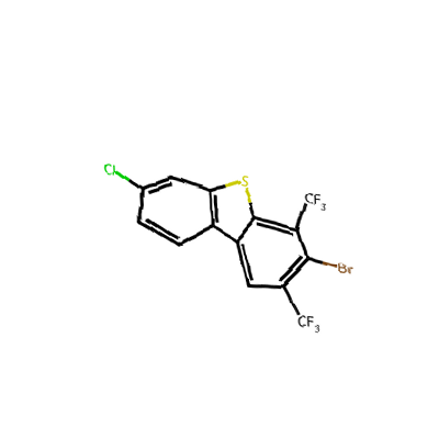 FC(F)(F)c1cc2c(sc3cc(Cl)ccc32)c(C(F)(F)F)c1Br